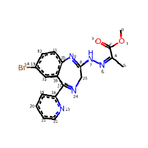 COC(=O)C(C)=NNC1=Nc2ccc(Br)cc2C(c2ccccn2)=NC1